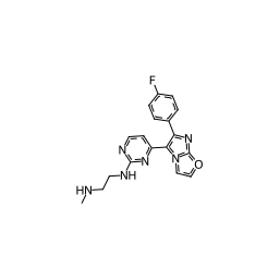 CNCCNc1nccc(-c2c(-c3ccc(F)cc3)nc3occn23)n1